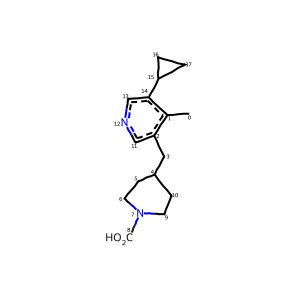 Cc1c(CC2CCN(C(=O)O)CC2)cncc1C1CC1